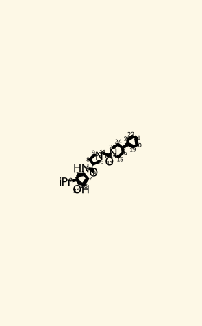 CC(C)c1cc(NC(=O)[C@@H]2CCN(CC(=O)N3CCC(c4ccccc4)CC3)C2)ccc1O